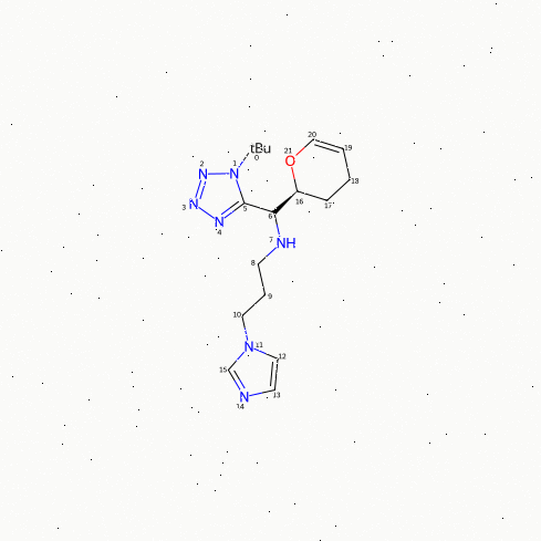 CC(C)(C)n1nnnc1C(NCCCn1ccnc1)[C@@H]1CCC=CO1